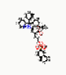 CCCCOC(=O)C(CCCOS(=O)(=O)c1ccc2ccccc2c1)C[C@H](NC(c1ccccc1)(c1ccccc1)c1ccccc1)C(=O)O